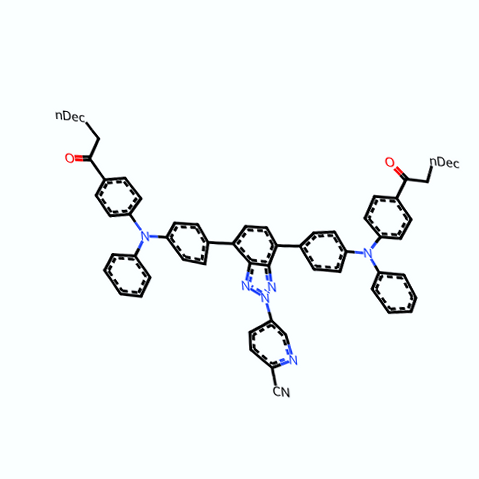 CCCCCCCCCCCC(=O)c1ccc(N(c2ccccc2)c2ccc(-c3ccc(-c4ccc(N(c5ccccc5)c5ccc(C(=O)CCCCCCCCCCC)cc5)cc4)c4nn(-c5ccc(C#N)nc5)nc34)cc2)cc1